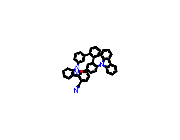 N#Cc1ccc(-n2c3ccccc3c3ccccc32)c(-c2ccccc2-c2cccc(-n3c4ccccc4c4c(C#N)cccc43)c2)c1